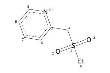 CCS(=O)(=O)Cc1ccccn1